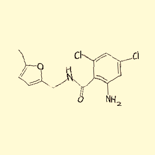 Cc1ccc(CNC(=O)c2c(N)cc(Cl)cc2Cl)o1